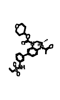 CCS(=O)(=O)Nc1cccc(-c2ccc3c(c2)N(C(=O)OC2CCOCC2)C[C@H](C)N3C(C)=O)c1